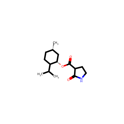 CC(C)C1CC[C@H](C)C[C@@H]1OC(=O)C1CCNC1=O